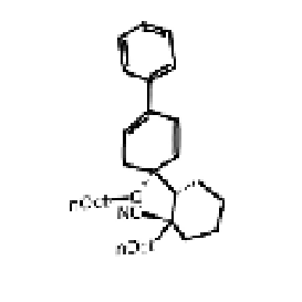 CCCCCCCCO[C@@]1([C@@H]2CCCC[C@]2(C#N)CCCCCCCC)C=CC(c2ccccc2)=CC1